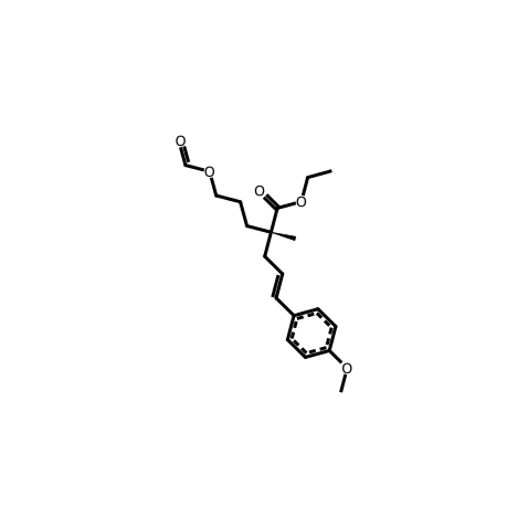 CCOC(=O)[C@](C)(C/C=C/c1ccc(OC)cc1)CCCOC=O